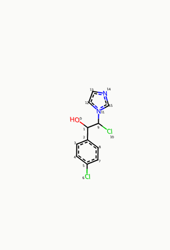 OC(c1ccc(Cl)cc1)C(Cl)n1ccnc1